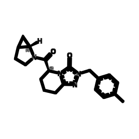 Cc1ccc(Cn2nc3n(c2=O)[C@H](C(=O)N2CCC4C[C@@H]42)CCC3)cc1